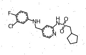 O=S(=O)(CC1CCCC1)Nc1cc(CNc2ccc(F)c(Cl)c2)ccn1